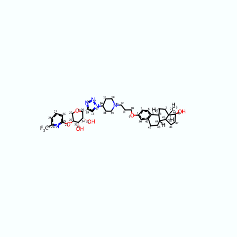 C[C@]12CC[C@@H]3c4ccc(OCCCN5CCC(n6cc([C@H]7OC[C@H](Oc8cccc(C(F)(F)F)n8)[C@@H](O)[C@H]7O)nn6)CC5)cc4CC[C@H]3[C@@H]1CC[C@@H]2O